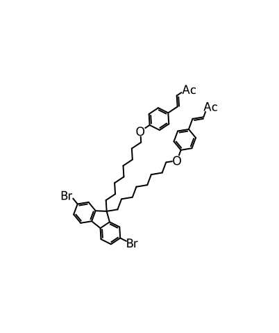 CC(=O)/C=C/c1ccc(OCCCCCCCCC2(CCCCCCCCOc3ccc(/C=C/C(C)=O)cc3)c3cc(Br)ccc3-c3ccc(Br)cc32)cc1